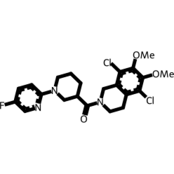 COc1c(Cl)c2c(c(Cl)c1OC)CN(C(=O)C1CCCN(c3ccc(F)cn3)C1)CC2